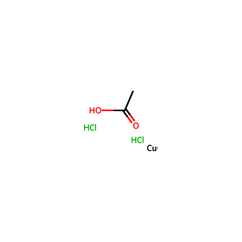 CC(=O)O.Cl.Cl.[Cu]